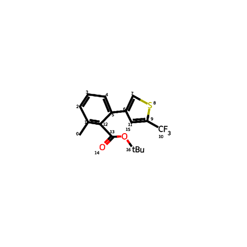 Cc1cccc(-c2csc(C(F)(F)F)c2)c1C(=O)OC(C)(C)C